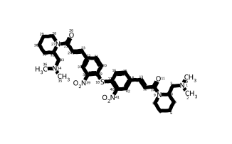 CN(C)CC1CCCCN1C(=O)/C=C/c1ccc(Sc2ccc(/C=C/C(=O)N3CCCCC3CN(C)C)cc2[N+](=O)[O-])c([N+](=O)[O-])c1